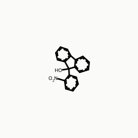 O=[N+]([O-])c1ccccc1C1(O)c2ccccc2-c2ccccc21